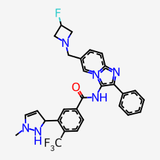 CN1C=CC(c2cc(C(=O)Nc3c(-c4ccccc4)nc4ccc(CN5CC(F)C5)cn34)ccc2C(F)(F)F)N1